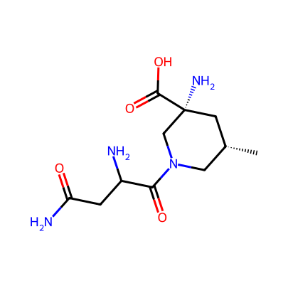 C[C@@H]1CN(C(=O)C(N)CC(N)=O)C[C@@](N)(C(=O)O)C1